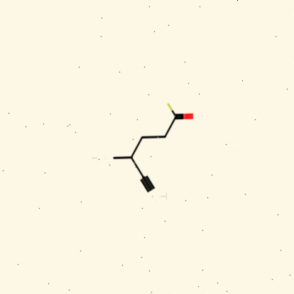 C#CC(C)CCC(=O)[S]